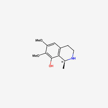 COc1cc2c(c(O)c1OC)[C@H](C)NCC2